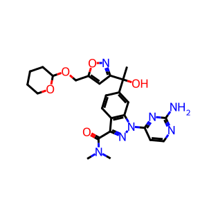 CN(C)C(=O)c1nn(-c2ccnc(N)n2)c2cc(C(C)(O)c3cc(COC4CCCCO4)on3)ccc12